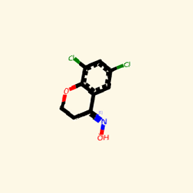 O/N=C1\CCOc2c(Cl)cc(Cl)cc21